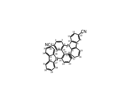 N#Cc1ccc(-n2c3c(c4cc(C#N)ccc42)C=CCC3)c(-c2c#cccc2-n2c3ccccc3c3ccccc32)c1